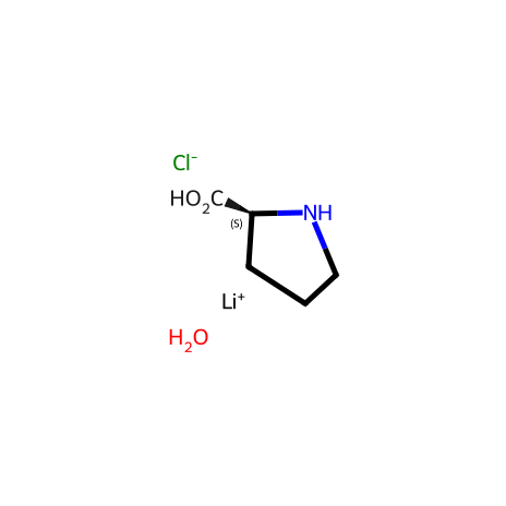 O.O=C(O)[C@@H]1CCCN1.[Cl-].[Li+]